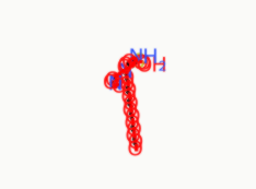 COCCOCCOCCOCCOCCOCCOCCOCCOCCOCCOCCOCCN(CCCCCC(=O)ON1C(=O)CCC1=O)C(=O)Cc1c(C)c2cc(SOOO)c(N)cc2oc1=O